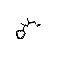 C=N/C=C(C)\C=C(/C)c1ccccc1